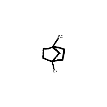 CCC12CCC(C(C)=O)(CC1)C2